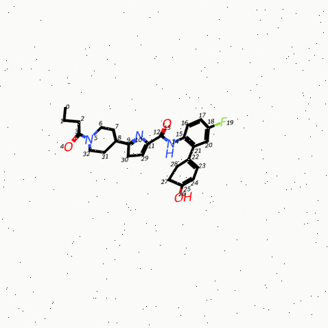 CCCC(=O)N1CCC(C2=NC(C(=O)Nc3ccc(F)cc3C3=CC=C(O)CC3)=CC2)CC1